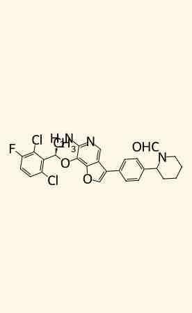 C[C@@H](Oc1c(N)ncc2c(-c3ccc(C4CCCCN4C=O)cc3)coc12)c1c(Cl)ccc(F)c1Cl